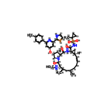 Cc1ccc(-c2cc(O[C@@H]3C[C@H]4C(=O)N[C@]5(C(=O)NS(=O)(=O)C6(C)CC6)C[C@H]5C=CCC[C@@H](C)C[C@@H](C)[C@H](NC(=O)O)C(=O)N4C3)cc(-c3nccs3)n2)cc1